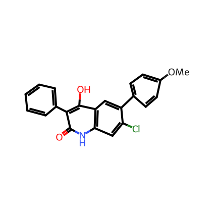 COc1ccc(-c2cc3c(O)c(-c4ccccc4)c(=O)[nH]c3cc2Cl)cc1